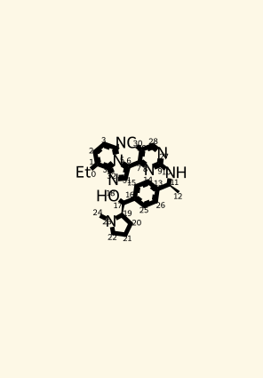 CCc1cccn2c(-c3nc(N[C@@H](C)c4ccc(C(O)[C@H]5CCCN5C)cc4)ncc3C#N)cnc12